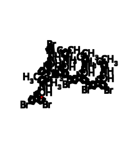 Cc1c(C)n(CC(O)CNc2ccc(Br)cc2)c2ccccc12.Cc1cc(C)cc(NCC(O)Cn2c3ccc(Br)cc3c3cc(Br)ccc32)c1.Cc1ccc(C)c(NCC(O)Cn2c3ccc(Br)cc3c3cc(Br)ccc32)c1.Cc1ccc(NCC(O)Cn2c3ccc(Br)cc3c3cc(Br)ccc32)cc1C.Cc1ccc(NCC(O)Cn2c3ccc(Br)cc3c3cc(Br)ccc32)cc1C